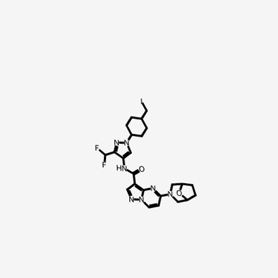 O=C(Nc1cn(C2CCC(CI)CC2)nc1C(F)F)c1cnn2ccc(N3CC4CCC(C3)O4)nc12